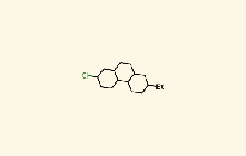 CCC1CCC2C(CCC3CC(Cl)CCC32)C1